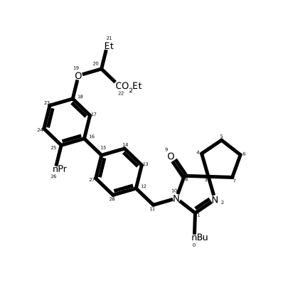 CCCCC1=NC2(CCCC2)C(=O)N1Cc1ccc(-c2cc(OC(CC)C(=O)OCC)ccc2CCC)cc1